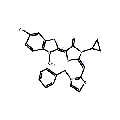 CN1/C(=c2\s/c(=C\c3scc[n+]3Cc3ccccc3)n(C3CC3)c2=O)Sc2cc(Cl)ccc21